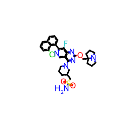 NS(=O)(=O)CC1CCCN(c2nc(OCC34CCCN3CCC4)nc3c(F)c(-c4cccc5cccc(Cl)c45)ncc23)C1